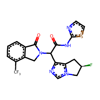 O=C(Nc1nccs1)C(c1ncn2c1C[C@@H](F)C2)N1Cc2c(cccc2C(F)(F)F)C1=O